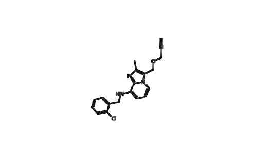 C#CCOCc1c(C)nc2c(NCc3ccccc3Cl)cccn12